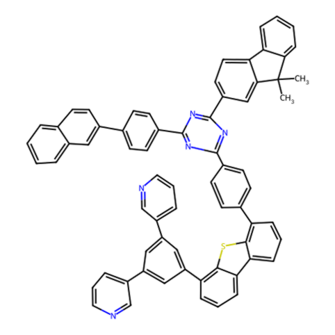 CC1(C)c2ccccc2-c2ccc(-c3nc(-c4ccc(-c5ccc6ccccc6c5)cc4)nc(-c4ccc(-c5cccc6c5sc5c(-c7cc(-c8cccnc8)cc(-c8cccnc8)c7)cccc56)cc4)n3)cc21